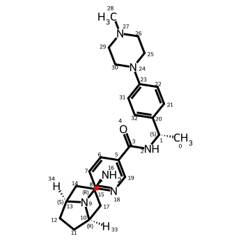 C[C@H](NC(=O)c1ccc(N2[C@@H]3CC[C@H]2C[C@@H](N)C3)nc1)c1ccc(N2CCN(C)CC2)cc1